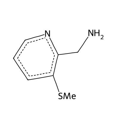 CSc1cccnc1CN